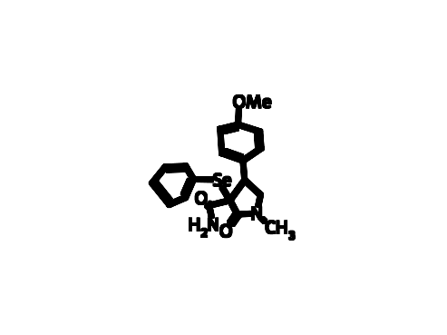 COc1ccc(C2CN(C)C(=O)C2([Se]c2ccccc2)C(N)=O)cc1